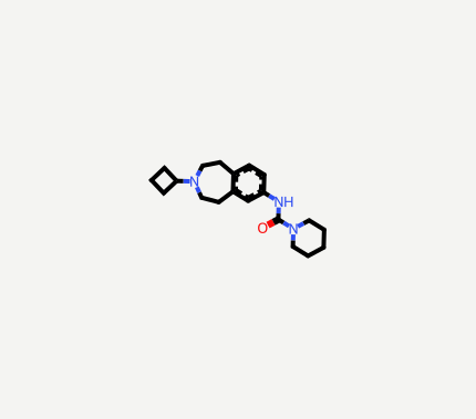 O=C(Nc1ccc2c(c1)CCN(C1CCC1)CC2)N1CCCCC1